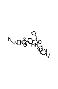 COc1ccc2nc(NC(=O)C(CC3CCCC3)c3ccc(S(=O)(=O)N4CCN(CC#N)CC4)cc3)sc2n1